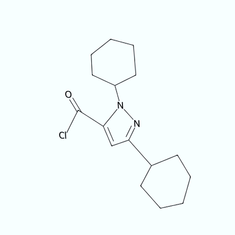 O=C(Cl)c1cc(C2CCCCC2)nn1C1CCCCC1